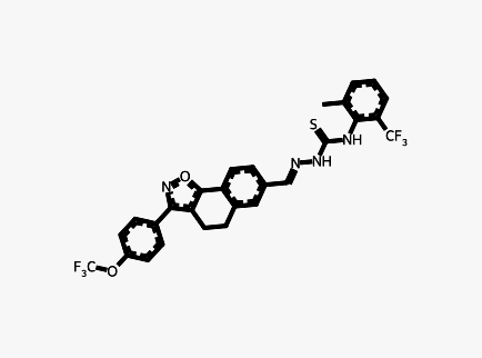 Cc1cccc(C(F)(F)F)c1NC(=S)N/N=C/c1ccc2c(c1)CCc1c(-c3ccc(OC(F)(F)F)cc3)noc1-2